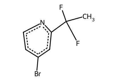 CC(F)(F)c1cc(Br)ccn1